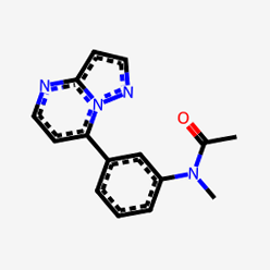 CC(=O)N(C)c1cccc(-c2ccnc3ccnn23)c1